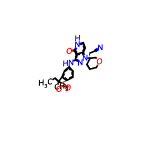 CCC1(C)c2cc(Nc3nn([C@]4(CC#N)CCCOC4)c4cc[nH]c(=O)c34)ccc2S1(=O)=O